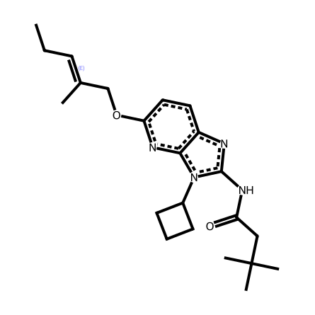 CC/C=C(\C)COc1ccc2nc(NC(=O)CC(C)(C)C)n(C3CCC3)c2n1